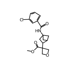 COC(=O)C1(C2CC3(NC(=O)c4cccc(Cl)c4)CC2C3)COC1